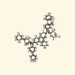 CC1C=CC(N(c2ccc(-c3ccc(N(c4ccc(-c5ccccc5)cc4)c4ccc(-c5ccccc5)cc4)cc3)c(C3=CC=CCC3)c2)c2ccc3c(c2)C(C)(C)c2ccccc2-3)=CC1